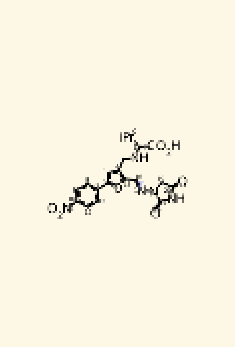 CC(C)[C@H](NCc1cc(-c2ccc([N+](=O)[O-])cc2)oc1/C=N/N1CC(=O)NC1=O)C(=O)O